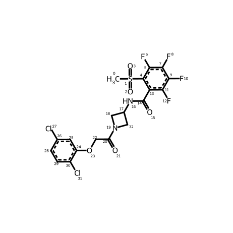 CS(=O)(=O)c1c(F)c(F)c(F)c(F)c1C(=O)NC1CN(C(=O)COc2cc(Cl)ccc2Cl)C1